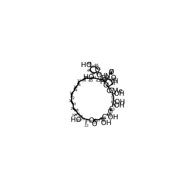 CO[C@]12C[C@@H](O)C[C@@H](O)[C@H](O)CC[C@@H](O)C[C@@H](O)CC(=O)O[C@@H](C)C[C@H](O)[C@@H](C)/C=C/C=C/C=C/C=C/C=C/C=C/C=C/[C@H](O[C@@H]3OC[C@@H](O)C[C@@H]3O)C[C@H](O1)[C@@H]1NC(=O)O[C@H]1C2